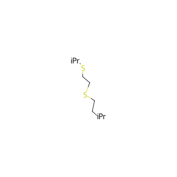 CC(C)CCSCCSC(C)C